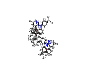 Cc1cnc(N(c2ccc(C(C)C)cc2)c2ccc3c(c2)C2(c4ccccc4-c4ccccc42)c2c-3c3ccc(N(c4ccc(C(C)C)cc4)c4ncc(C)cc4-c4ccccc4)cc3c3ccccc23)c(-c2ccccc2)c1